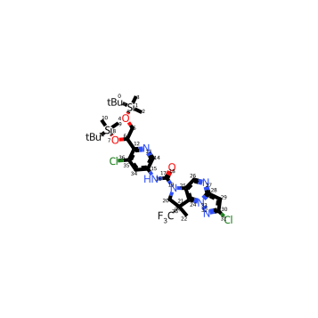 CC(C)(C)[Si](C)(C)OCC(O[Si](C)(C)C(C)(C)C)c1ncc(NC(=O)N2C[C@@](C)(C(F)(F)F)c3c2cnc2cc(Cl)nn32)cc1Cl